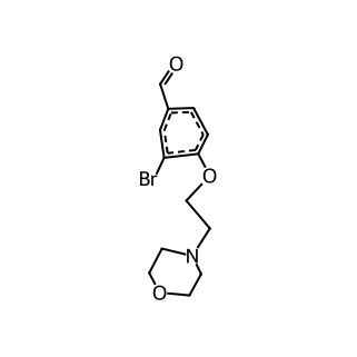 O=Cc1ccc(OCCN2CCOCC2)c(Br)c1